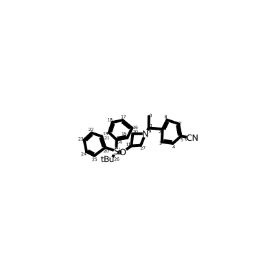 CC(c1ccc(C#N)cc1)N1CC(O[Si](c2ccccc2)(c2ccccc2)C(C)(C)C)C1